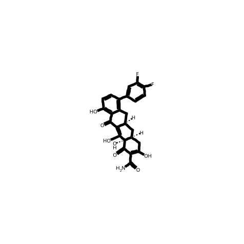 NC(=O)C1=C(O)C[C@@H]2C[C@@H]3Cc4c(-c5ccc(F)c(F)c5)ccc(O)c4C(=O)C3=C(O)[C@]2(O)C1=O